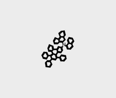 C1=CC2=c3ccccc3=C(N(c3ccc4c(c3)c3ccccc3c3c(-c5ccccc5)c(-c5ccccc5)cc(-c5ccccc5)c43)c3cccc4ccccc34)CC2C=C1